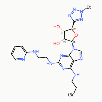 CCn1nnc([C@H]2O[C@@H](n3cnc4c(NCCC(C)(C)C)nc(NCCNc5ccccn5)nc43)[C@H](O)[C@@H]2O)n1